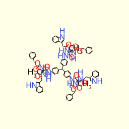 C[C@@](NC(=O)Cc1c[nH]c2ccccc12)(NC(=O)OCc1ccccc1)C(=O)Nc1ccc(C(c2ccc(NC(=O)[C@](C)(NC(=O)Cc3c[nH]c4ccccc34)NC(=O)OCc3ccccc3)cc2)c2ccc(NC(=O)[C@](C)(NC(=O)Cc3c[nH]c4ccccc34)NC(=O)OCc3ccccc3)cc2)cc1